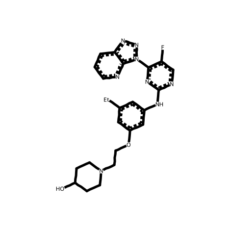 CCc1cc(Nc2ncc(F)c(-n3nnc4cccnc43)n2)cc(OCCN2CCC(O)CC2)c1